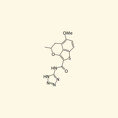 COc1ccc2sc(C(=O)Nc3nnn[nH]3)c3c2c1CC(C)O3